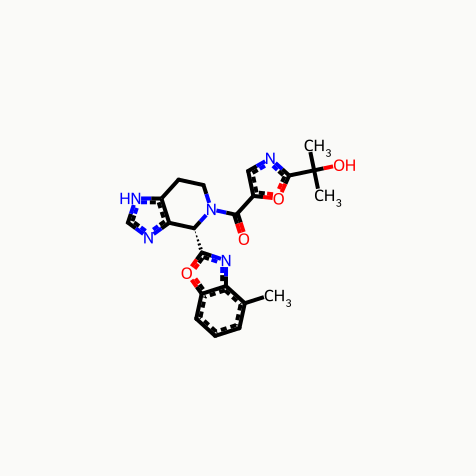 Cc1cccc2oc([C@@H]3c4nc[nH]c4CCN3C(=O)c3cnc(C(C)(C)O)o3)nc12